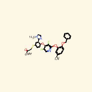 COC(=O)CSc1ccc(Oc2c(F)cnc(Oc3cc(C#N)ccc3OCc3ccccc3)c2F)c(C2N=CCN2C)c1